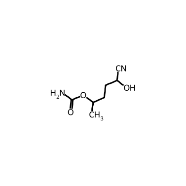 CC(CCC(O)C#N)OC(N)=O